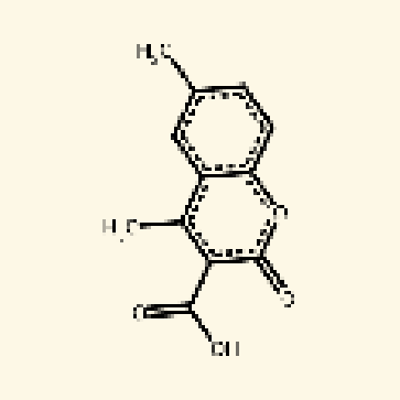 Cc1ccc2oc(=O)c(C(=O)O)c(C)c2c1